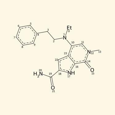 CCN(CCc1ccccc1)c1cn(C)c(=O)c2[nH]c(C(N)=O)cc12